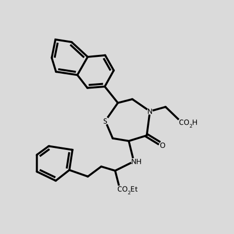 CCOC(=O)C(CCc1ccccc1)NC1CSC(c2ccc3ccccc3c2)CN(CC(=O)O)C1=O